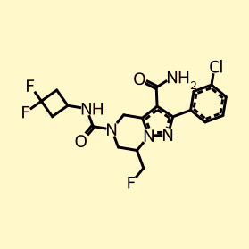 NC(=O)c1c(-c2cccc(Cl)c2)nn2c1CN(C(=O)NC1CC(F)(F)C1)CC2CF